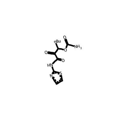 CCCCC(OC(N)=O)C(=O)C(=O)Nc1nccs1